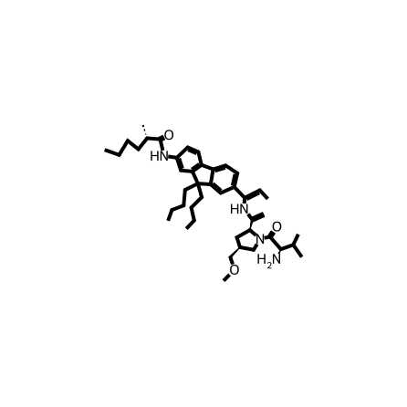 C=C(N/C(=C\C)c1ccc2c(c1)C(CCCC)(CCCC)c1cc(NC(=O)[C@@H](C)CCCC)ccc1-2)[C@@H]1C[C@H](COC)CN1C(=O)[C@@H](N)C(C)C